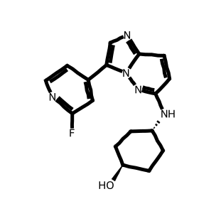 O[C@H]1CC[C@H](Nc2ccc3ncc(-c4ccnc(F)c4)n3n2)CC1